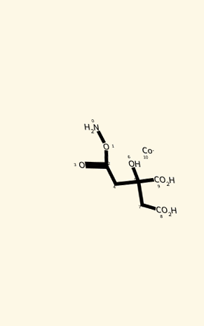 NOC(=O)CC(O)(CC(=O)O)C(=O)O.[Co]